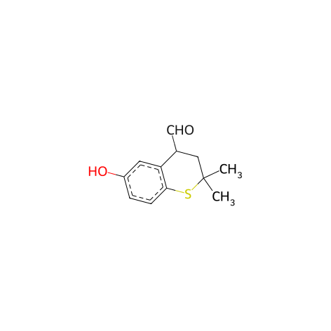 CC1(C)CC(C=O)c2cc(O)ccc2S1